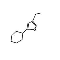 CCc1cc(C2CCCCC2)sn1